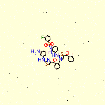 Cc1ccccc1C(=O)c1cnc(Nc2cccc(NS(=O)(=O)c3cccc(F)c3)c2)s1.Cc1ccccc1C(=O)c1csc(Nc2cccc(N)c2)n1